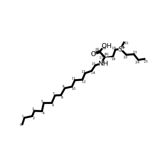 CCCCCCCCCCCCCCCCN[C@H](CC[S+](C)CCCC)C(=O)O